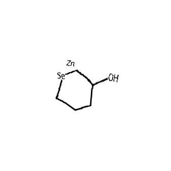 OC1CCC[Se]C1.[Zn]